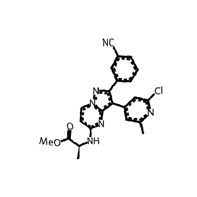 COC(=O)[C@H](C)Nc1ccn2nc(-c3cccc(C#N)c3)c(-c3cc(C)nc(Cl)c3)c2n1